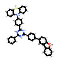 c1ccc(-c2nc(-c3ccc(-c4ccc5oc6ccccc6c5c4)cc3)nc(-c3ccc(N4c5ccccc5Sc5ccccc54)cc3)n2)cc1